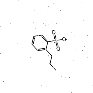 CCCc1ccccc1S([O])(=O)=O